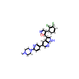 CN1CCN(c2ccc(-c3cnc4[nH]cc(-c5oncc5C5CC=CC(F)=C5F)c4c3)cn2)CC1